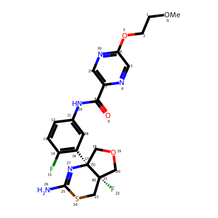 COCCOc1cnc(C(=O)Nc2ccc(F)c([C@]34COC[C@@]3(F)CSC(N)=N4)c2)cn1